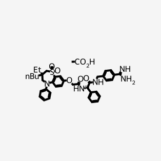 CC(=O)O.CCCCC1(CC)CN(c2ccccc2)c2ccc(OCC(=O)N[C@@H](C(=O)NCc3ccc(C(=N)N)cc3)c3ccccc3)cc2S(=O)(=O)C1